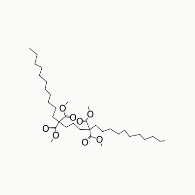 CCCCCCCCCCCC(CCCC(CCCCCCCCCCC)(C(=O)OC)C(=O)OC)(C(=O)OC)C(=O)OC